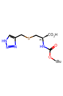 CC(C)(C)OC(=O)N[C@@H](CSCc1c[nH]nn1)C(=O)O